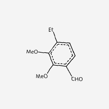 CCc1ccc(C=O)c(OC)c1OC